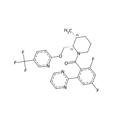 C[C@@H]1CCCN(C(=O)c2c(F)cc(F)cc2-c2ncccn2)[C@@H]1COc1ccc(C(F)(F)F)cn1